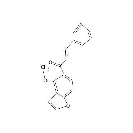 COc1c(C(=O)/C=C/c2ccccc2)ccc2occc12